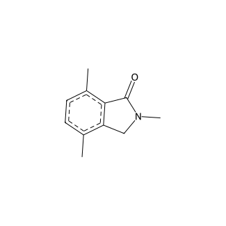 Cc1ccc(C)c2c1CN(C)C2=O